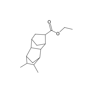 CCOC(=O)C1CC2CC1C1C3CC(C(C)C3C)C21